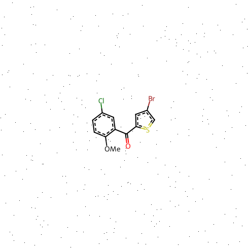 COc1ccc(Cl)cc1C(=O)c1cc(Br)cs1